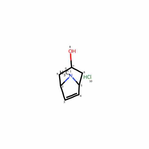 CN1C2C=CC1CC(O)C2.Cl